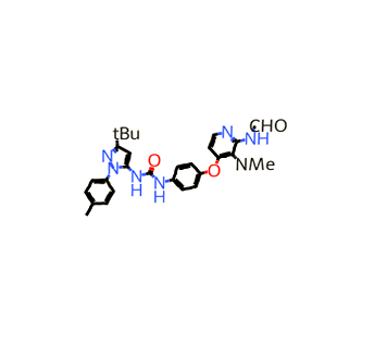 CNc1c(Oc2ccc(NC(=O)Nc3cc(C(C)(C)C)nn3-c3ccc(C)cc3)cc2)ccnc1NC=O